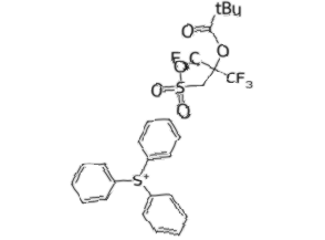 CC(C)(C)C(=O)OC(CS(=O)(=O)[O-])(C(F)(F)F)C(F)(F)F.c1ccc([S+](c2ccccc2)c2ccccc2)cc1